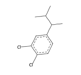 CC(C)C(C)c1ccc(Cl)c(Cl)c1